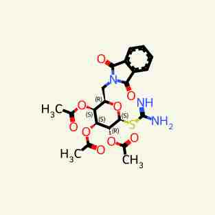 CC(=O)O[C@H]1[C@@H](OC(C)=O)[C@@H](CN2C(=O)c3ccccc3C2=O)O[C@@H](SC(=N)N)[C@@H]1OC(C)=O